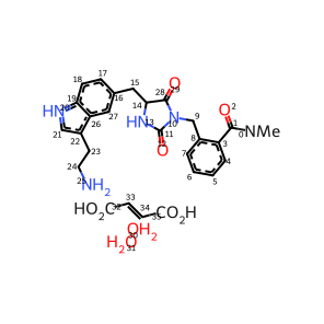 CNC(=O)c1ccccc1CN1C(=O)NC(Cc2ccc3[nH]cc(CCN)c3c2)C1=O.O.O.O=C(O)C=CC(=O)O